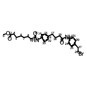 COC(=O)CCCCCCC(=O)Nc1ccc(CCCC(=O)Nc2ccc(CCBr)cc2)cc1